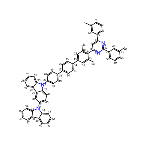 Cc1cccc(-c2cc(-c3c(C)cc(-c4ccc(-c5ccc(-n6c7ccccc7c7cc(-n8c9ccccc9c9ccccc98)ccc76)cc5)cc4)cc3C)nc(-c3cccc(C)c3)n2)c1